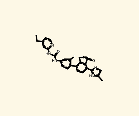 CCc1ccnc(NC(=O)Nc2ccc(-c3ccc(-c4ncc(C)[nH]4)c4c3CNC4=O)c(F)c2)c1